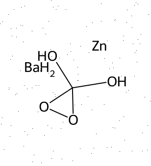 OC1(O)OO1.[BaH2].[Zn]